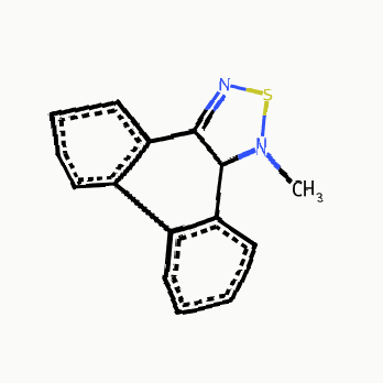 CN1SN=C2c3ccccc3-c3ccccc3C21